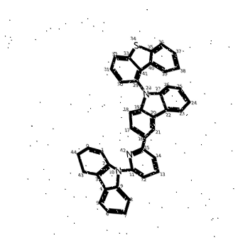 C1=Cc2c(c3ccccc3n2-c2cccc(-c3ccc4c(c3)c3ccccc3n4-c3cccc4sc5ccccc5c34)n2)CC1